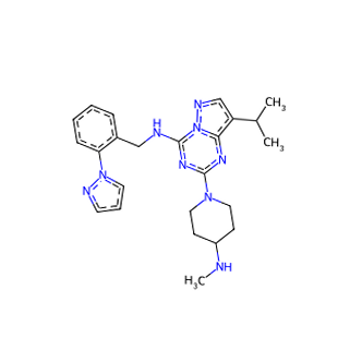 CNC1CCN(c2nc(NCc3ccccc3-n3cccn3)n3ncc(C(C)C)c3n2)CC1